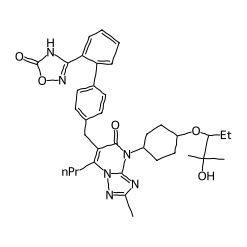 CCCc1c(Cc2ccc(-c3ccccc3-c3noc(=O)[nH]3)cc2)c(=O)n(C2CCC(OC(CC)C(C)(C)O)CC2)c2nc(C)nn12